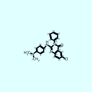 CN(C)c1ccc(Nc2nc3ccc(Cl)cc3c(=O)n2-c2ccccc2)cc1